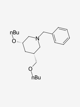 CCCCOC[C@@H]1C[C@H](OCCCC)CN(Cc2ccccc2)C1